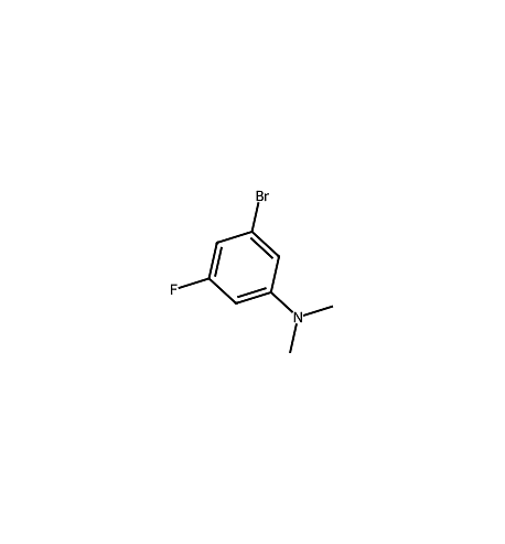 CN(C)c1cc(F)cc(Br)c1